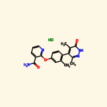 Cc1cc(Oc2ncccc2C(N)=O)ccc1-c1c(C)n[nH]c(=O)c1C.Cl